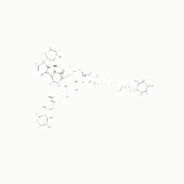 O=C(CCCCCC(O)CN(CCCCOC(c1ccccc1)(c1ccccc1)c1ccccc1)CC(O)CCCCCC(=O)OCc1ccccc1)OCc1ccccc1